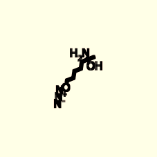 CC(N)(O)CCCCCON=[N+]=[N-]